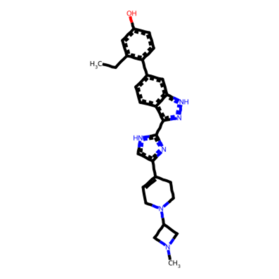 CCc1cc(O)ccc1-c1ccc2c(-c3nc(C4=CCN(C5CN(C)C5)CC4)c[nH]3)n[nH]c2c1